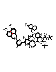 COc1ccc(CN(Cc2ccc(OC)cc2)c2cc(C)cc(-c3nc4c5c(nc(OC[C@@]67CCCN6C[C@H](F)C7)nc5c3F)N(C(C)c3cccnc3N(C(=O)OC(C)(C)C)C(=O)OC(C)(C)C)CCO4)n2)cc1